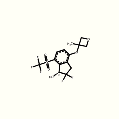 CC1(Oc2ccc(S(=O)(=O)C(F)(F)F)c3c2CC(F)(F)[C@H]3O)COC1